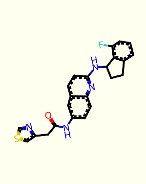 O=C(Cc1cscn1)Nc1ccc2nc(NC3CCc4cccc(F)c43)ccc2c1